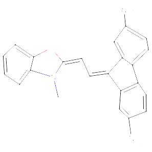 CN1C(=CC=C2c3cc([N+](=O)[O-])ccc3-c3ccc([N+](=O)[O-])cc32)Oc2ccccc21